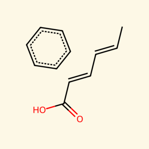 CC=CC=CC(=O)O.c1ccccc1